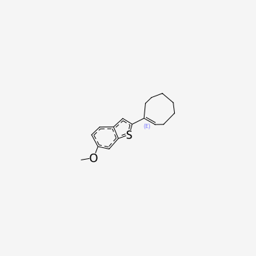 COc1ccc2cc(/C3=C/CCCCCC3)sc2c1